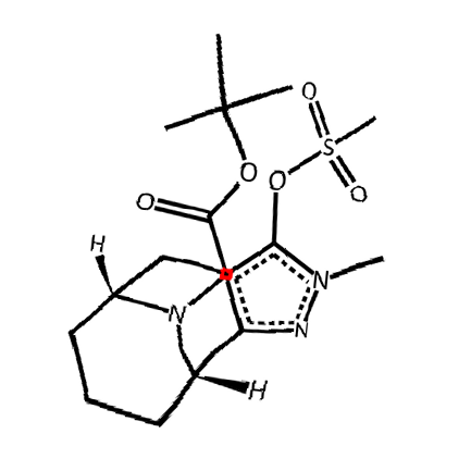 Cn1nc2c(c1OS(C)(=O)=O)C[C@H]1CCC[C@@H]2N1CC(=O)OC(C)(C)C